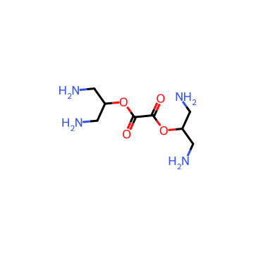 NCC(CN)OC(=O)C(=O)OC(CN)CN